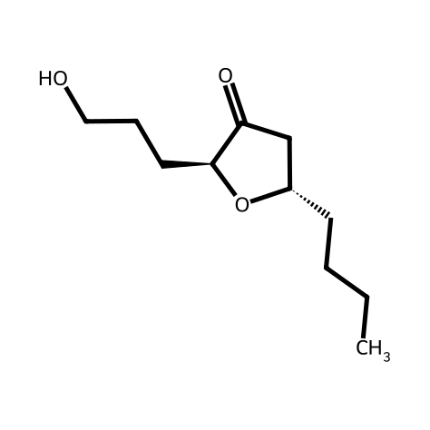 CCCC[C@H]1CC(=O)[C@H](CCCO)O1